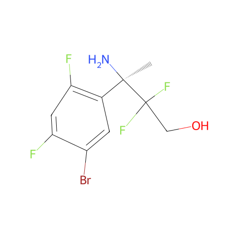 C[C@@](N)(c1cc(Br)c(F)cc1F)C(F)(F)CO